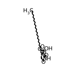 CCCCCCCCCCCCCCCCCCCCCC(=O)OC1C[C@@H](n2ccc(=O)[nH]c2=O)O[C@H]1CO